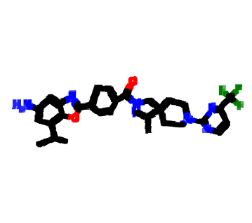 CC(C)c1cc(N)cc2nc(-c3ccc(C(=O)NCC4(C(C)C)CCN(c5nccc(C(F)(F)F)n5)CC4)cc3)oc12